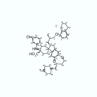 C[C@@H](COc1ccnc2c1[C@H](C)CCC2)C[C@H]1Cc2cc3c(cc2C12CCC(Nc1cccc(Cl)c1)(C(=O)O)CC2)O[C@H](CN1CCN(C)CC1)CCO3